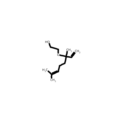 C=CC(C)(CCC=C(C)C)OCCO